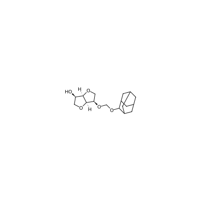 O[C@@H]1CO[C@H]2[C@@H]1OC[C@H]2OCOC1C2CC3CC(C2)CC1C3